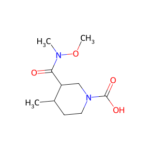 CON(C)C(=O)C1CN(C(=O)O)CCC1C